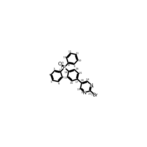 O=P(c1ccccc1)(c1ccccc1)c1ccc(-c2cnc(Br)nc2)cc1